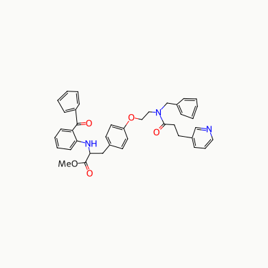 COC(=O)C(Cc1ccc(OCCN(Cc2ccccc2)C(=O)CCc2cccnc2)cc1)Nc1ccccc1C(=O)c1ccccc1